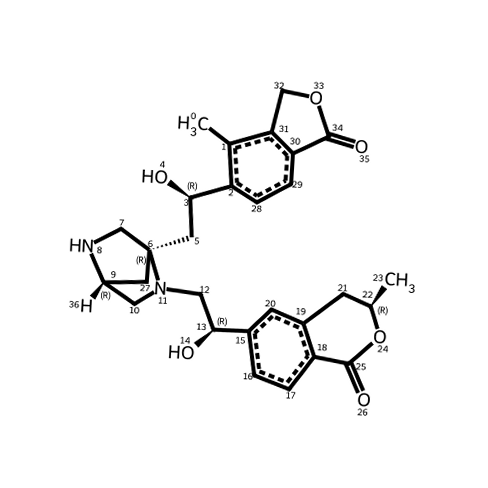 Cc1c([C@H](O)C[C@]23CN[C@@H](CN2C[C@H](O)c2ccc4c(c2)C[C@@H](C)OC4=O)C3)ccc2c1COC2=O